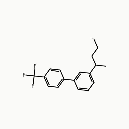 [CH2]CCC(C)c1cccc(-c2ccc(C(F)(F)F)cc2)c1